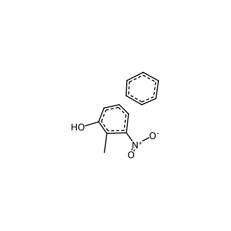 Cc1c(O)cccc1[N+](=O)[O-].c1ccccc1